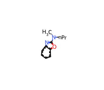 CCCN(C)c1nc2ccccc2o1